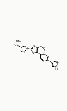 CC(C)(C)NC1CCN(c2nc3c(s2)-c2ccc(-c4cn[nH]c4)cc2OC3)C1